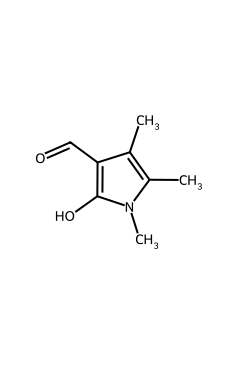 Cc1c(C=O)c(O)n(C)c1C